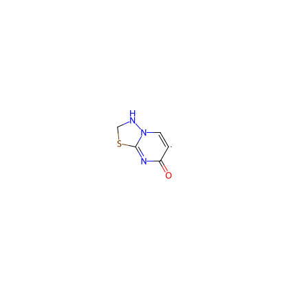 O=c1[c]cn2c(n1)SCN2